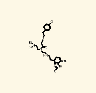 CCN(CC)CCN(CCNCCc1ccc(O)c2[nH]c(=O)sc12)C(=O)CCOCCc1ccc(Cl)cc1